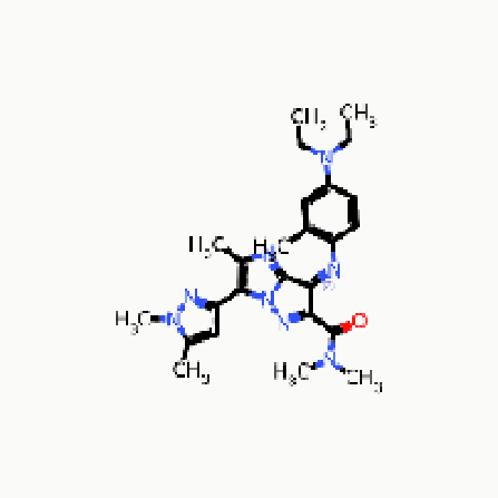 CCN(CC)c1ccc(/N=C2/C(C(=O)N(C)C)=Nn3c2nc(C)c3-c2cc(C)n(C)n2)c(C)c1